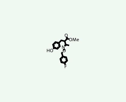 COC(=O)C(Cc1ccc(O)cc1)C(C)=NOCc1ccc(F)cc1